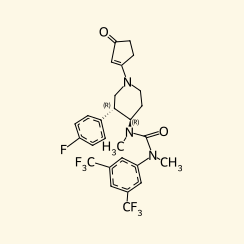 CN(C(=O)N(C)[C@@H]1CCN(C2=CC(=O)CC2)C[C@H]1c1ccc(F)cc1)c1cc(C(F)(F)F)cc(C(F)(F)F)c1